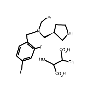 CC(C)CN(Cc1ccc(F)cc1F)C[C@H]1CCNC1.O=C(O)C(O)C(O)C(=O)O